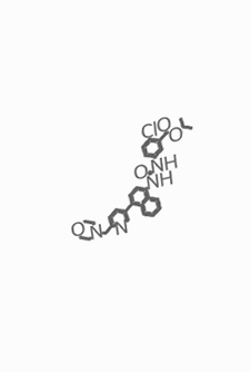 CC(C)OC(=O)c1cc(NC(=O)Nc2ccc(-c3ccc(CN4CCOCC4)nc3)c3ccccc23)ccc1Cl